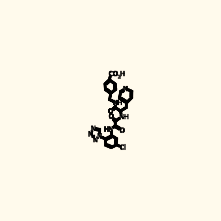 O=C(Nc1cc(Cl)ccc1-n1cnnn1)C(=O)NC(Cc1ccncc1)C(=O)NCc1ccc(C(=O)O)cc1